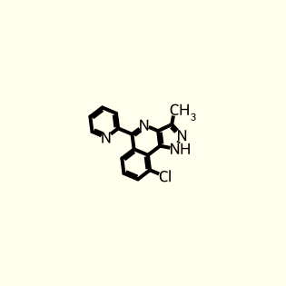 Cc1n[nH]c2c1nc(-c1ccccn1)c1cccc(Cl)c12